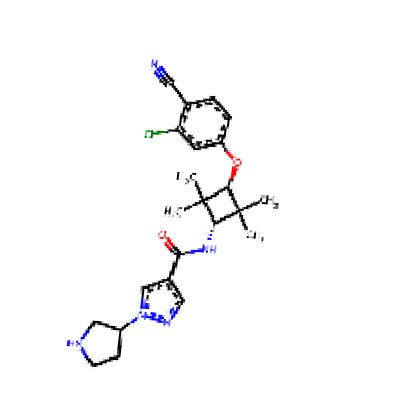 CC1(C)[C@H](NC(=O)c2cnn(C3CCNC3)c2)C(C)(C)[C@H]1Oc1ccc(C#N)c(Cl)c1